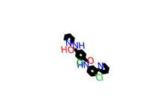 O=C(Nc1ccc(Cl)c(-c2ccccn2)c1)c1ccc(C(O)Nc2ccccn2)cc1Cl